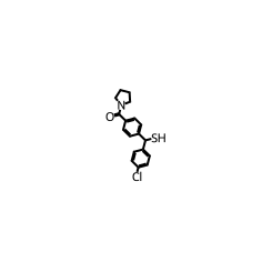 O=C(c1ccc(C(S)c2ccc(Cl)cc2)cc1)N1CCCC1